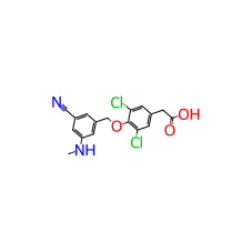 CNc1cc(C#N)cc(COc2c(Cl)cc(CC(=O)O)cc2Cl)c1